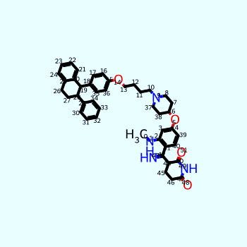 CNc1cc(OC2CCN(CCCCOc3ccc(C4c5ccccc5CCC4c4ccccc4)cc3)CC2)ccc1C(=N)C1CCC(=O)NC1=O